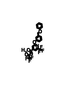 CN(OC(=O)C(F)(F)F)c1cc(Oc2cccc(COc3ccccc3)c2)nc(C(F)(F)F)c1